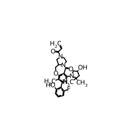 C=CC(=O)N1CCN2C(=O)c3c(N4C[C@@H](O)CC4(C)C)nc(-c4c(O)cccc4F)c(C)c3OCC2C1